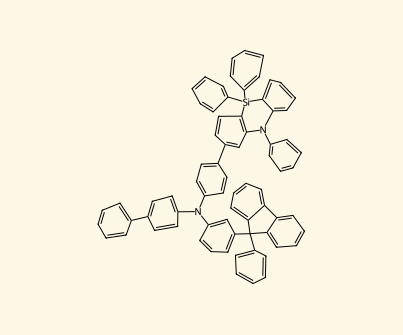 c1ccc(-c2ccc(N(c3ccc(-c4ccc5c(c4)N(c4ccccc4)c4ccccc4[Si]5(c4ccccc4)c4ccccc4)cc3)c3cccc(C4(c5ccccc5)c5ccccc5-c5ccccc54)c3)cc2)cc1